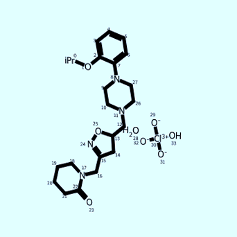 CC(C)Oc1ccccc1N1CCN(CC2CC(CN3CCCCC3=O)=NO2)CC1.O.[O-][Cl+3]([O-])([O-])O